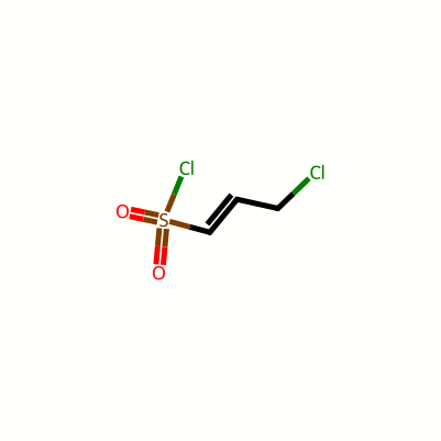 O=S(=O)(Cl)C=CCCl